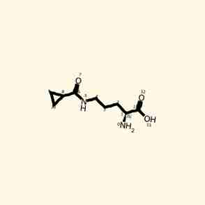 N[C@@H](CCCNC(=O)C1CC1)C(=O)O